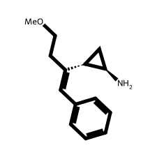 COCCC(=Cc1ccccc1)[C@@H]1C[C@H]1N